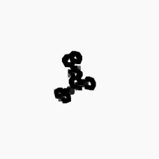 c1ccc2c(-c3ncc4c(N5CCCCC5)nc(OCC56CCCN5CCC6)cc4n3)cccc2c1